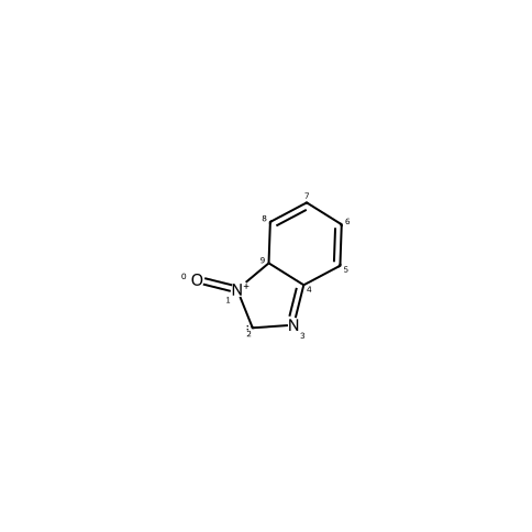 O=[N+]1[C]N=C2C=CC=CC21